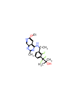 CCOc1cc2c(N[C@H](C)c3cccc(C(F)(F)C(C)(C)O)c3F)nc(C)nc2cn1